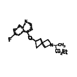 CCOC(=O)C(C)N1CC2(CC(Oc3ccnc4ccc(F)cc34)C2)C1